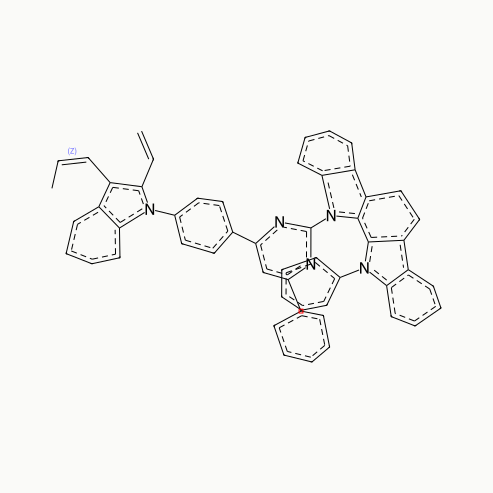 C=Cc1c(/C=C\C)c2ccccc2n1-c1ccc(-c2cc(-c3ccccc3)nc(-n3c4ccccc4c4ccc5c6ccccc6n(-c6ccccc6)c5c43)n2)cc1